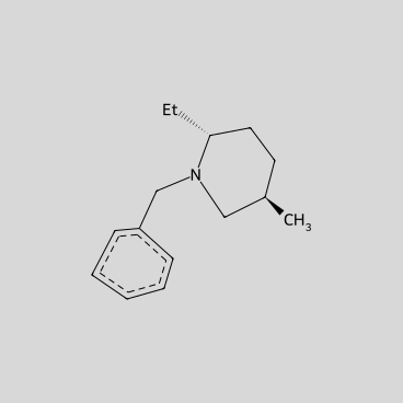 CC[C@@H]1CC[C@@H](C)CN1Cc1ccccc1